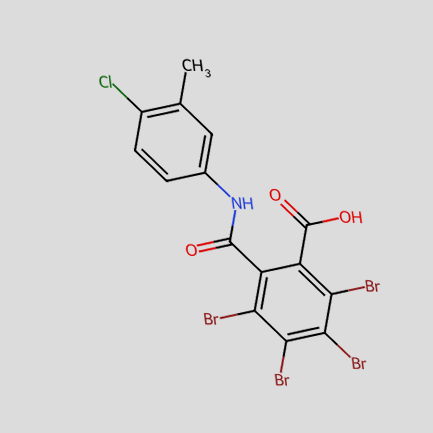 Cc1cc(NC(=O)c2c(Br)c(Br)c(Br)c(Br)c2C(=O)O)ccc1Cl